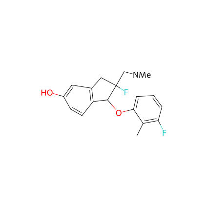 CNCC1(F)Cc2cc(O)ccc2C1Oc1cccc(F)c1C